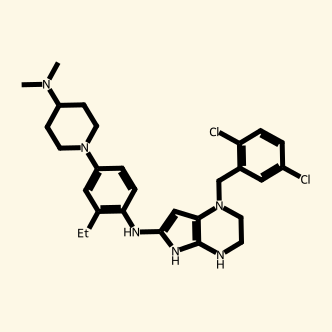 CCc1cc(N2CCC(N(C)C)CC2)ccc1Nc1cc2c([nH]1)NCCN2Cc1cc(Cl)ccc1Cl